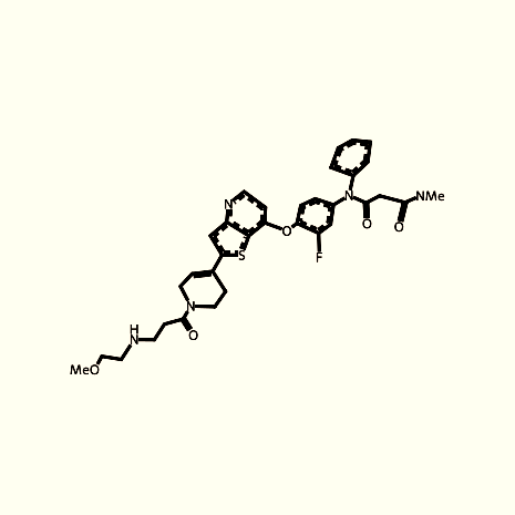 CNC(=O)CC(=O)N(c1ccccc1)c1ccc(Oc2ccnc3cc(C4=CCN(C(=O)CCNCCOC)CC4)sc23)c(F)c1